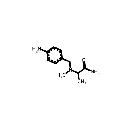 CC(C(N)=O)N(C)Cc1ccc(N)cc1